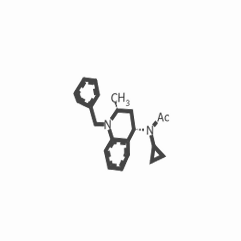 CC(=O)N(C1CC1)[C@H]1C[C@@H](C)N(Cc2ccccc2)c2ccccc21